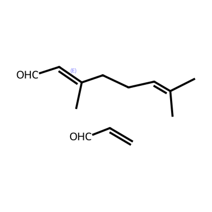 C=CC=O.CC(C)=CCC/C(C)=C/C=O